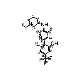 CCN1CCCC(Nc2nnc(-c3c(C)cc(C(F)(F)F)cc3O)cc2C)C1